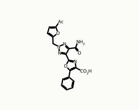 CC(=O)c1ccc(Cn2nc(C(N)=O)c(-c3nc(C(=O)O)c(-c4ccccc4)o3)n2)o1